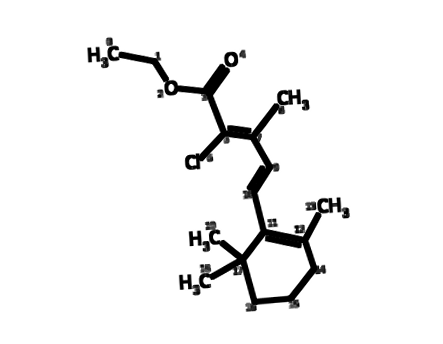 CCOC(=O)C(Cl)=C(C)C=CC1=C(C)CCCC1(C)C